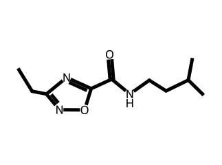 CCc1noc(C(=O)NCCC(C)C)n1